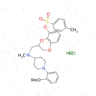 COc1ccccc1N1CCC(N(C)CC2COc3cccc(OS(=O)(=O)c4ccc(C)cc4)c3O2)CC1.Cl.Cl